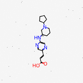 O=C(O)C=Cc1cnc(N[C@@H]2CCCN(C3CCCC3)C2)cn1